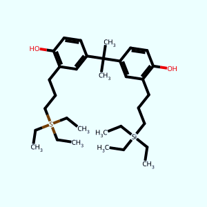 CC[Si](CC)(CC)CCCc1cc(C(C)(C)c2ccc(O)c(CCCS(CC)(CC)CC)c2)ccc1O